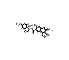 CCCN(C(=O)c1cc2c3c(c(N)nc2cc1F)[C@@H](C)OC3)[C@H]1COc2cc(C(F)(F)F)ccc21